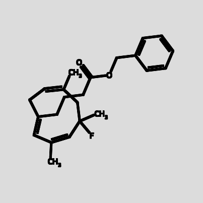 CC1=C/C(C)(F)C/C(C)=C\C\C(CCCC(=O)OCc2ccccc2)=C\1